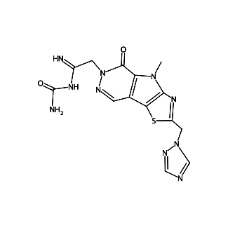 Cn1c2nc(Cn3cncn3)sc2c2cnn(CC(=N)NC(N)=O)c(=O)c21